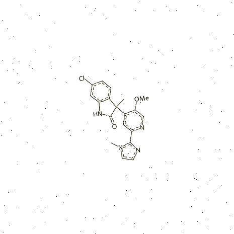 COc1cnc(-c2nccn2C)cc1C1(C)C(=O)Nc2cc(Cl)ccc21